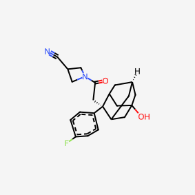 N#CC1CN(C(=O)C[C@]2(c3ccc(F)cc3)C3CC4(O)CC2C[C@@H](C3)C4)C1